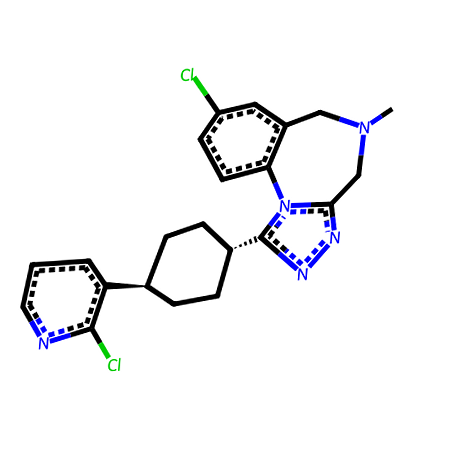 CN1Cc2cc(Cl)ccc2-n2c(nnc2[C@H]2CC[C@H](c3cccnc3Cl)CC2)C1